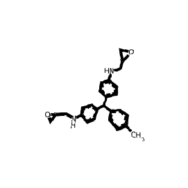 Cc1ccc(C(c2ccc(NCC3CO3)cc2)c2ccc(NCC3CO3)cc2)cc1